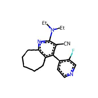 CCN(CC)c1nc2c(c(-c3ccncc3F)c1C#N)CCCCC2